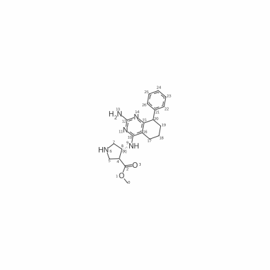 COC(=O)C1CNC[C@@H]1Nc1nc(N)nc2c1CCCC2c1ccccc1